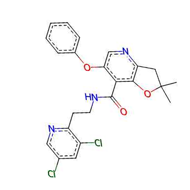 CC1(C)Cc2ncc(Oc3ccccc3)c(C(=O)NCCc3ncc(Cl)cc3Cl)c2O1